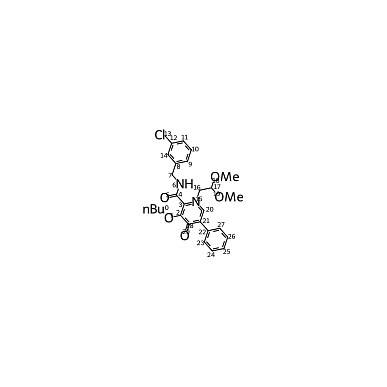 CCCCOc1c(C(=O)NCc2cccc(Cl)c2)n(CC(OC)OC)cc(-c2ccccc2)c1=O